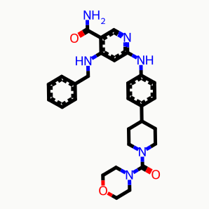 NC(=O)c1cnc(Nc2ccc(C3CCN(C(=O)N4CCOCC4)CC3)cc2)cc1NCc1ccccc1